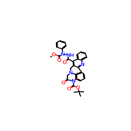 COC(=O)N(NC(=O)c1c(CN2CCN(C(=O)OC(C)(C)C)C(=O)C2)c(-c2ccccc2)nc2ccccc12)c1ccccc1